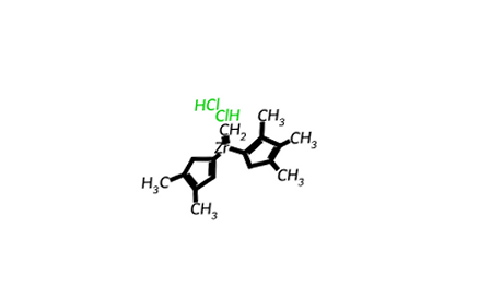 Cl.Cl.[CH2]=[Zr]([C]1=CC(C)=C(C)C1)[C]1=C(C)C(C)=C(C)C1